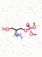 COP(=O)(OC)OCC(N)CO